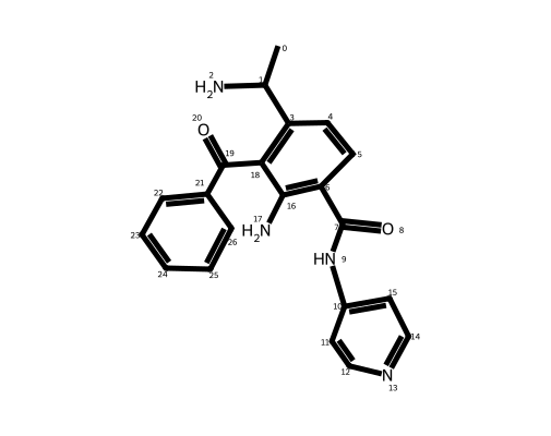 CC(N)c1ccc(C(=O)Nc2ccncc2)c(N)c1C(=O)c1ccccc1